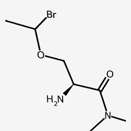 CC(Br)OC[C@H](N)C(=O)N(C)C